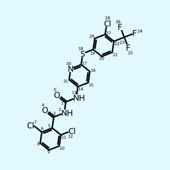 O=C(NC(=O)c1c(Cl)cccc1Cl)Nc1ccc(Sc2ccc(C(F)(F)F)c(Cl)c2)nc1